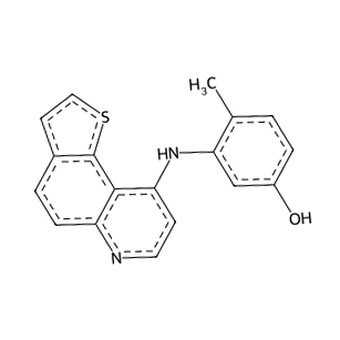 Cc1ccc(O)cc1Nc1ccnc2ccc3ccsc3c12